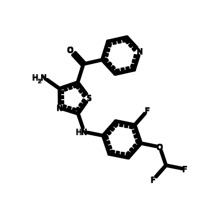 Nc1nc(Nc2ccc(OC(F)F)c(F)c2)sc1C(=O)c1ccncc1